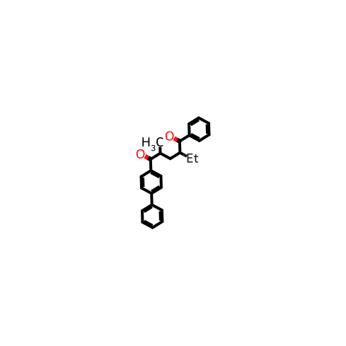 CCC(CC(C)C(=O)c1ccc(-c2ccccc2)cc1)C(=O)c1ccccc1